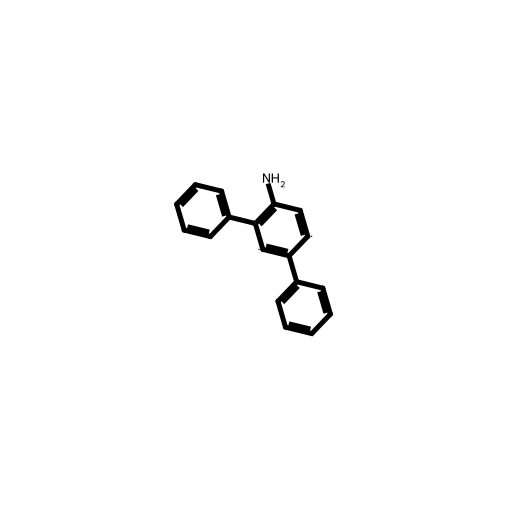 Nc1c[c]c(-c2ccccc2)[c]c1-c1ccccc1